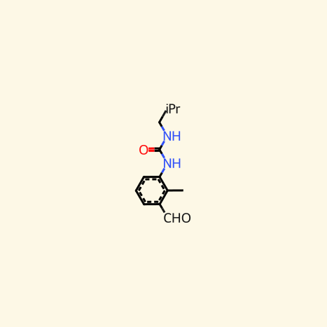 Cc1c(C=O)cccc1NC(=O)NCC(C)C